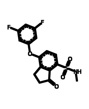 CNS(=O)(=O)c1ccc(Oc2cc(F)cc(F)c2)c2c1C(=O)CC2